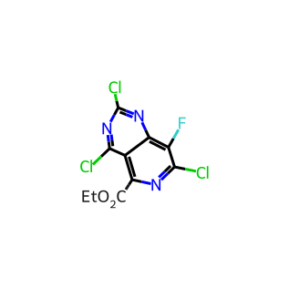 CCOC(=O)c1nc(Cl)c(F)c2nc(Cl)nc(Cl)c12